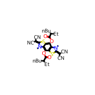 CCCCC(CC)C(=O)Oc1c2c(c(OC(=O)C(CC)CCCC)c3c1N(C)C(=C(C#N)C#N)S3)N(C)C(=C(C#N)C#N)S2